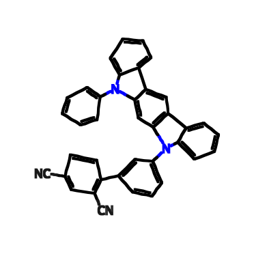 N#Cc1ccc(-c2cccc(-n3c4ccccc4c4cc5c6ccccc6n(-c6ccccc6)c5cc43)c2)c(C#N)c1